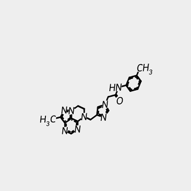 Cc1cccc(NC(=O)Cn2cnc(CN3CCn4nc(C)c5ncnc3c54)c2)c1